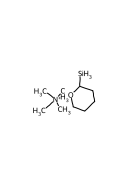 C[N+](C)(C)C.[SiH3]C1CCCCO1